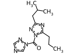 CCCc1nc(CC(C)C)nn1C(=O)n1cncn1